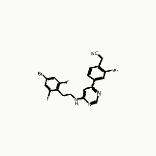 CCCc1cc(-c2cc(NCCc3c(F)cc(Br)cc3F)ncn2)ccc1CC#N